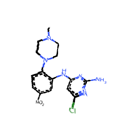 CN1CCN(c2ccc([N+](=O)[O-])cc2Nc2cc(Cl)nc(N)n2)CC1